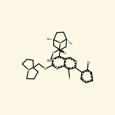 CCc1ccccc1-c1ncc2c(N3C[C@H]4CC[C@@H](C3)N4C(=O)OC(C)(C)C)nc(OCC34CCCN3CCC4)nc2c1F